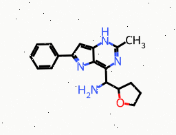 Cc1nc(C(N)C2CCCO2)c2nc(-c3ccccc3)cc-2[nH]1